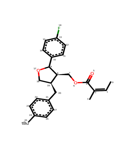 C/C=C(/C)C(=O)OC[C@@H]1C(c2ccc(F)cc2)OC[C@@H]1Cc1ccc(C(C)(C)C)cc1